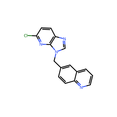 Clc1ccc2ncn(Cc3ccc4ncccc4c3)c2n1